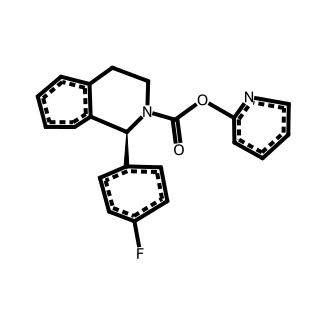 O=C(Oc1ccccn1)N1CCc2ccccc2[C@@H]1c1ccc(F)cc1